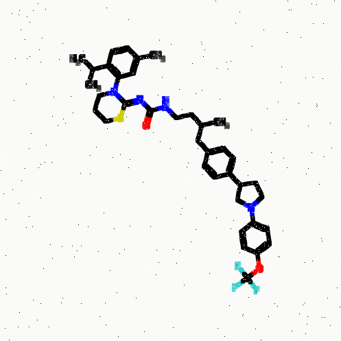 Cc1ccc(C(C)C)c(N2CCCS/C2=N\C(=O)NCCC(C)Cc2ccc(C3CCN(c4ccc(OC(F)(F)F)cc4)C3)cc2)c1